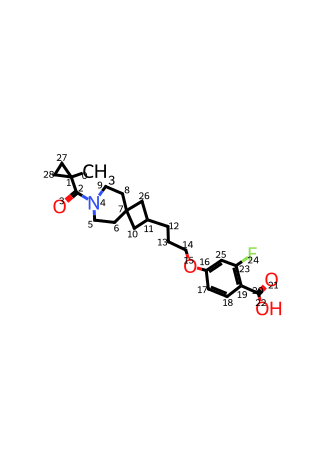 CC1(C(=O)N2CCC3(CC2)CC(CCCOc2ccc(C(=O)O)c(F)c2)C3)CC1